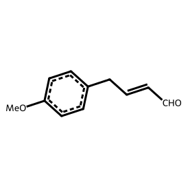 COc1ccc(CC=CC=O)cc1